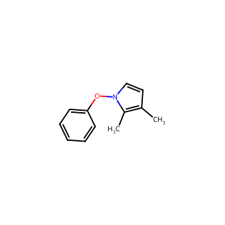 Cc1ccn(Oc2ccccc2)c1C